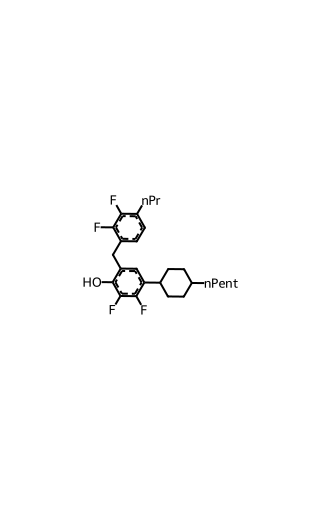 CCCCCC1CCC(c2cc(Cc3ccc(CCC)c(F)c3F)c(O)c(F)c2F)CC1